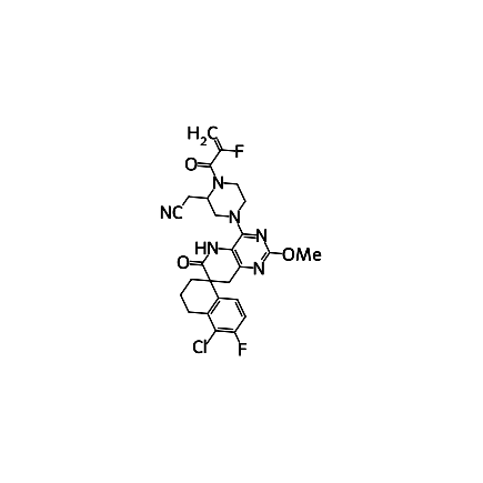 C=C(F)C(=O)N1CCN(c2nc(OC)nc3c2NC(=O)C2(CCCc4c2ccc(F)c4Cl)C3)CC1CC#N